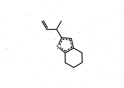 C=CC(C)c1cc2c(s1)CCCC2